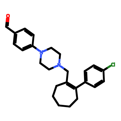 O=Cc1ccc(N2CCN(CC3=C(c4ccc(Cl)cc4)CCCCC3)CC2)cc1